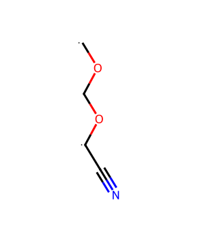 [CH2]OCO[CH]C#N